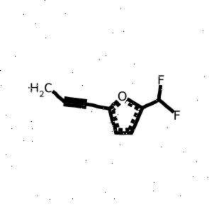 [CH2]C#Cc1ccc(C(F)F)o1